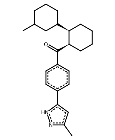 Cc1cc(-c2ccc(C(=O)[C@@H]3CCCC[C@@H]3C3CCCC(C)C3)cc2)[nH]n1